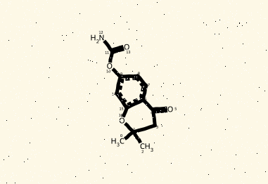 CC1(C)CC(=O)c2ccc(OC(N)=O)cc2O1